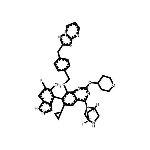 Cc1c(F)cc2[nH]ncc2c1-c1c(C2CC2)cc2c(N3C[C@@H]4C[C@H]3CN4)nc(OC3CCOCC3)nc2c1OCc1ccc(Cc2nc3ncccn3n2)cc1